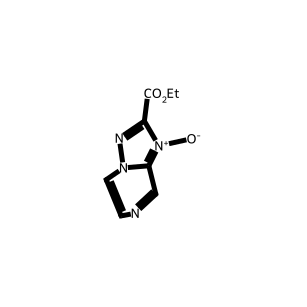 CCOC(=O)c1nn2ccncc2[n+]1[O-]